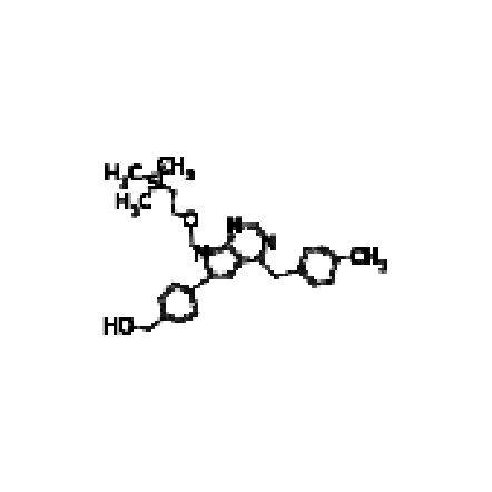 Cc1ccc(Cc2ncnc3c2cc(-c2ccc(CO)cc2)n3COCC[Si](C)(C)C)cc1